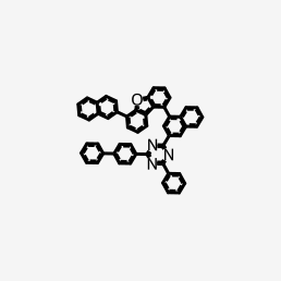 c1ccc(-c2ccc(-c3nc(-c4ccccc4)nc(-c4cc(-c5cccc6oc7c(-c8ccc9ccccc9c8)cccc7c56)c5ccccc5c4)n3)cc2)cc1